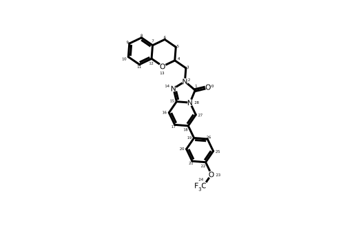 O=c1n(CC2CCc3ccccc3O2)nc2ccc(-c3ccc(OC(F)(F)F)cc3)cn12